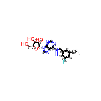 OC[C@H]1O[C@@H](n2cnc3c(NCc4cc(F)cc(C(F)(F)F)c4)ncnc32)[C@@H](O)[C@@H]1O